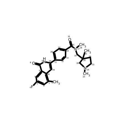 Cc1cc(F)cc2c(=O)[nH]c(-c3ccc(C(=O)N(C)CC4(C)CCN(C)C4)cc3)cc12